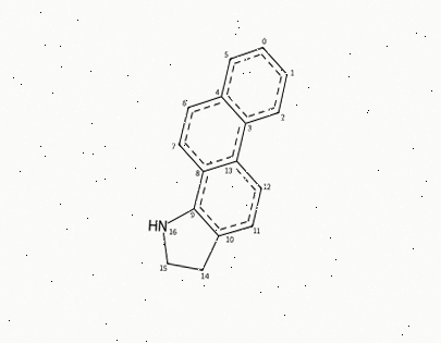 c1ccc2c(c1)ccc1c3c(ccc12)CCN3